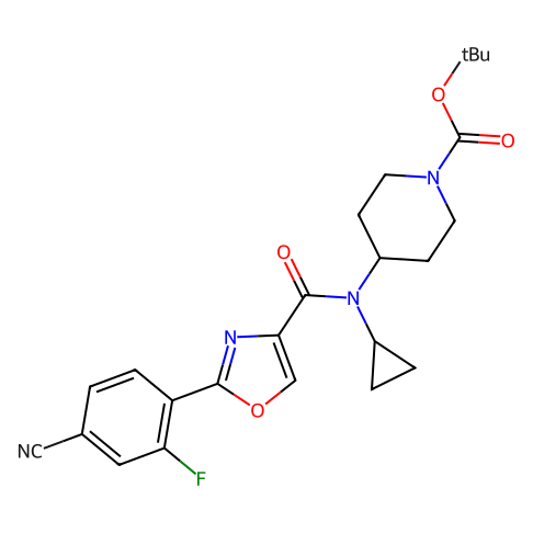 CC(C)(C)OC(=O)N1CCC(N(C(=O)c2coc(-c3ccc(C#N)cc3F)n2)C2CC2)CC1